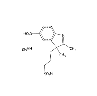 CC1=Nc2ccc(S(=O)(=O)O)cc2C1(C)CCCS(=O)(=O)O.[KH].[KH]